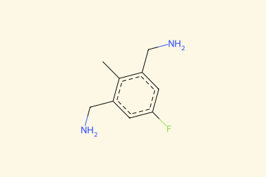 Cc1c(CN)cc(F)cc1CN